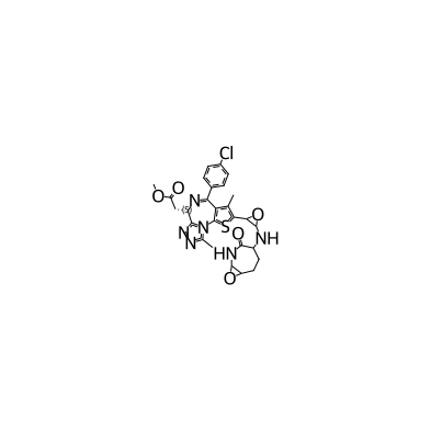 COC(=O)C[C@@H]1N=C(c2ccc(Cl)cc2)c2c(sc(C3OC3NC3CCC4OC4NC3=O)c2C)-n2c(C)nnc21